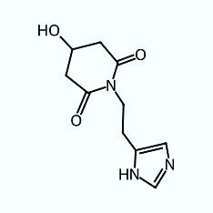 O=C1CC(O)CC(=O)N1CCc1cnc[nH]1